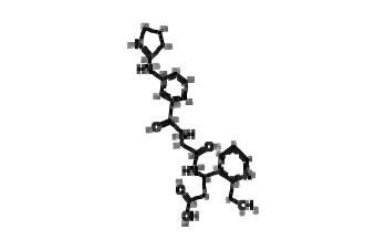 CCc1ncccc1C(CC(=O)O)NC(=O)CNC(=O)c1cccc(NC2=NCCC2)c1